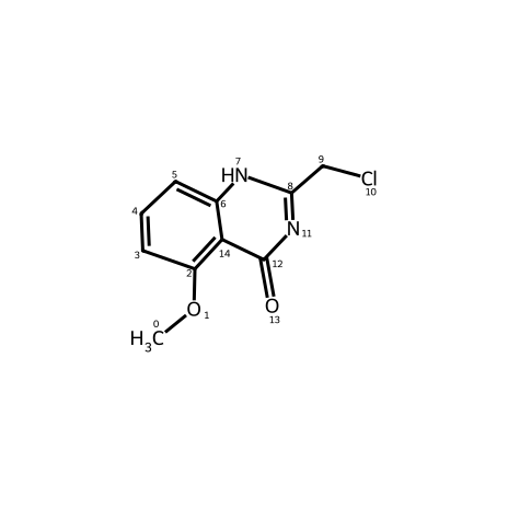 COc1cccc2[nH]c(CCl)nc(=O)c12